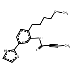 CC#CC(=O)Nc1cc(-c2ncc[nH]2)ccc1CCCCOC